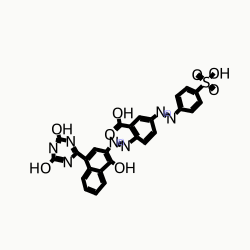 O=C(O)c1cc(/N=N/c2ccc(S(=O)(=O)O)cc2)ccc1/N=N/c1cc(-c2nc(O)nc(O)n2)c2ccccc2c1O